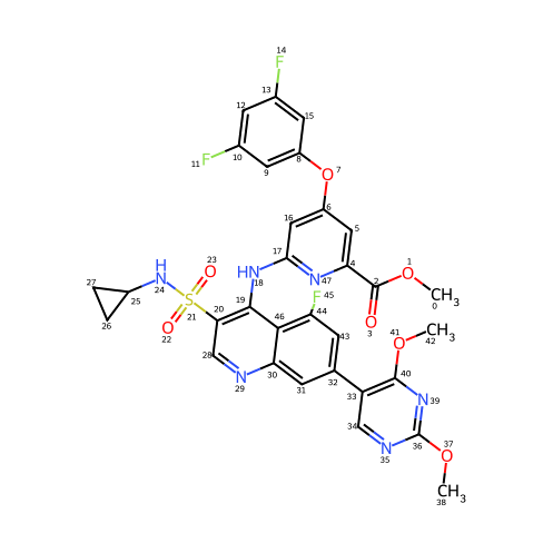 COC(=O)c1cc(Oc2cc(F)cc(F)c2)cc(Nc2c(S(=O)(=O)NC3CC3)cnc3cc(-c4cnc(OC)nc4OC)cc(F)c23)n1